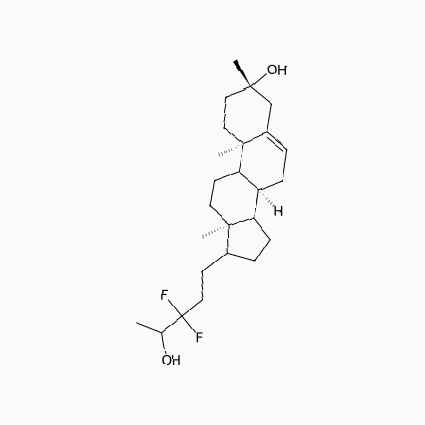 CC(O)C(F)(F)CCC1CCC2[C@@H]3CC=C4C[C@@](C)(O)CC[C@]4(C)C3CC[C@]12C